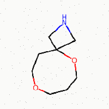 C1COCCC2(CNC2)OC1